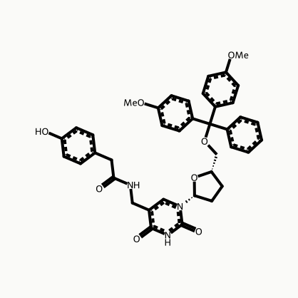 COc1ccc(C(OC[C@@H]2CC[C@H](n3cc(CNC(=O)Cc4ccc(O)cc4)c(=O)[nH]c3=O)O2)(c2ccccc2)c2ccc(OC)cc2)cc1